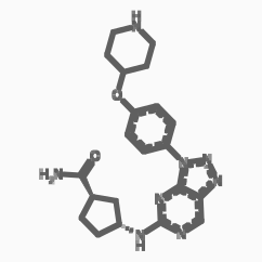 NC(=O)[C@@H]1CC[C@@H](Nc2ncc3nnn(-c4ccc(OC5CCNCC5)cc4)c3n2)C1